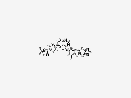 Cc1cc(Nc2ncnc3ccc(N4CCN(C(=O)OC(C)(C)C)CC4)cc23)ccc1CN1CCn2ncnc2C1